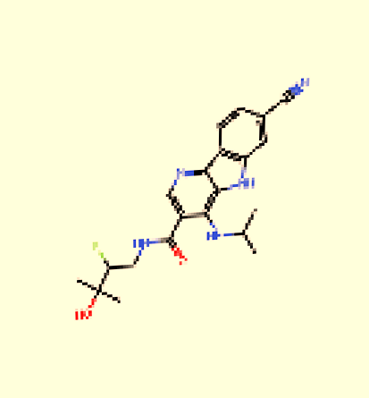 CC(C)Nc1c(C(=O)NCC(F)C(C)(C)O)cnc2c1[nH]c1cc(C#N)ccc12